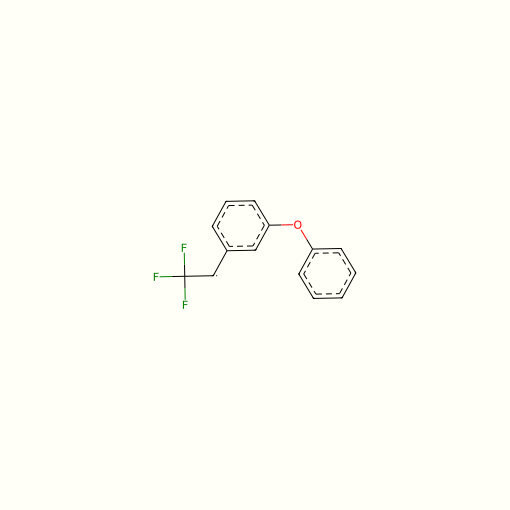 FC(F)(F)[CH]c1cccc(Oc2ccccc2)c1